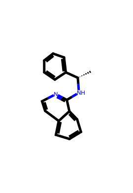 C[C@H](Nc1nccc2ccccc12)c1ccccc1